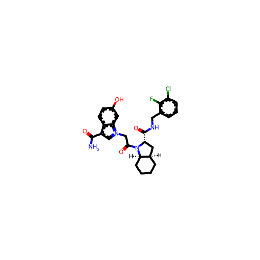 NC(=O)c1cn(CC(=O)N2[C@@H]3CCCC[C@@H]3C[C@H]2C(=O)NCc2cccc(Cl)c2F)c2cc(O)ccc12